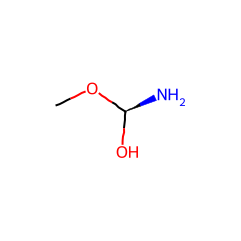 CO[C@@H](N)O